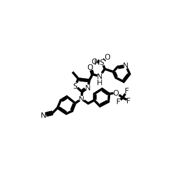 Cc1sc(N(Cc2ccc(OC(F)(F)F)cc2)c2ccc(C#N)cc2)nc1C(=O)NC(c1cccnc1)[SH](=O)=O